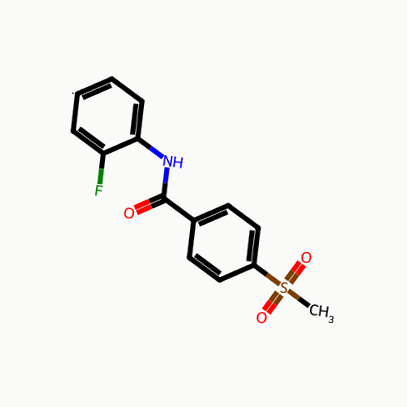 CS(=O)(=O)c1ccc(C(=O)Nc2cc[c]cc2F)cc1